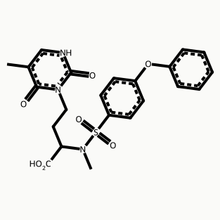 Cc1c[nH]c(=O)n(CCC(C(=O)O)N(C)S(=O)(=O)c2ccc(Oc3ccccc3)cc2)c1=O